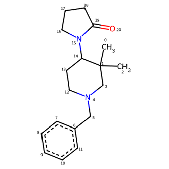 CC1(C)CN(Cc2ccccc2)CCC1N1CCCC1=O